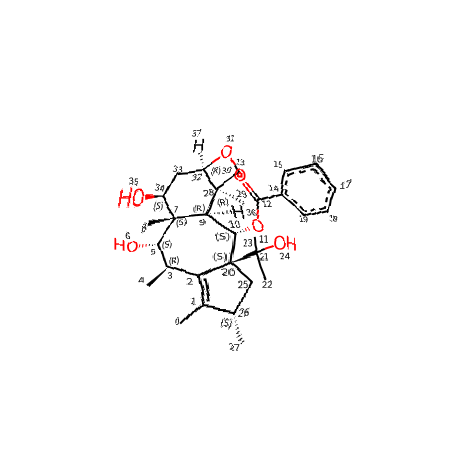 CC1=C2[C@@H](C)[C@H](O)[C@@]3(C)[C@H]([C@H](OC(=O)c4ccccc4)[C@]2(C(C)(C)O)C[C@@H]1C)[C@]1(C)CO[C@@H]1C[C@@H]3O